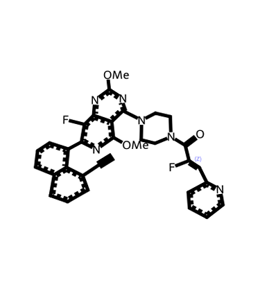 C#Cc1cccc2cccc(-c3nc(OC)c4c(N5CCN(C(=O)/C(F)=C/c6ccccn6)CC5)nc(OC)nc4c3F)c12